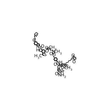 Cc1csc2c(OC(=O)N(C)CCN(C)C(=O)OCc3ccc(NC(=O)C(CCCNC(N)=O)NC(=O)C(NC(=O)CCCCCN4C(=O)C=CC4=O)C(C)C)cc3)cc3c(c12)CCN3C(=O)c1cc2cc(OCCN3CCCC3)ccc2[nH]1